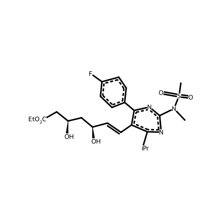 CCOC(=O)C[C@H](O)C[C@H](O)C=Cc1c(-c2ccc(F)cc2)nc(N(C)S(C)(=O)=O)nc1C(C)C